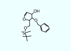 CC(C)(C)[Si](C)(C)OCC1OC=CC(O)C1OCc1ccccc1